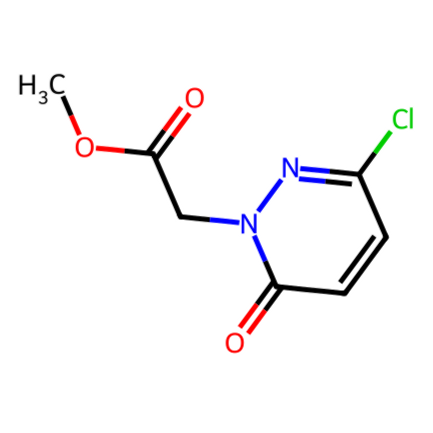 COC(=O)Cn1nc(Cl)ccc1=O